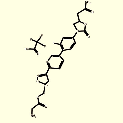 NCC(=O)OC[C@@H]1CC(c2ccc(-c3ccc(N4CC(CC(N)=O)OC4=O)cc3F)cn2)=NO1.O=C(O)C(F)(F)F